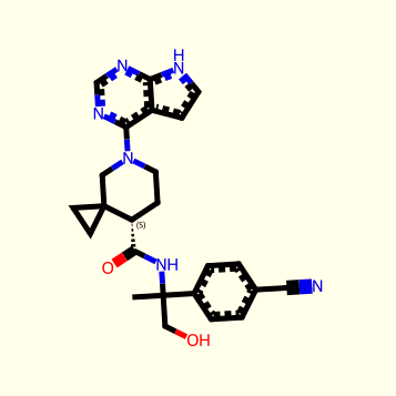 CC(CO)(NC(=O)[C@H]1CCN(c2ncnc3[nH]ccc23)CC12CC2)c1ccc(C#N)cc1